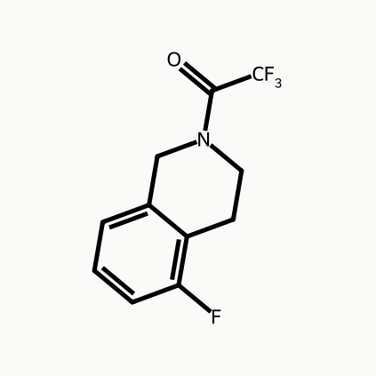 O=C(N1CCc2c(F)cccc2C1)C(F)(F)F